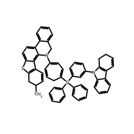 CC1C=Cc2c(sc3ccc4c(c23)N(C2=CC=C([Si](c3ccccc3)(c3ccccc3)c3cccc(-n5c6c(c7ccccc75)C=CCC6)c3)CC=C2)Cc2ccccc2-4)C1